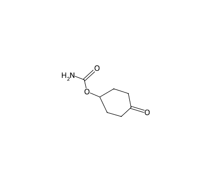 NC(=O)OC1CCC(=O)CC1